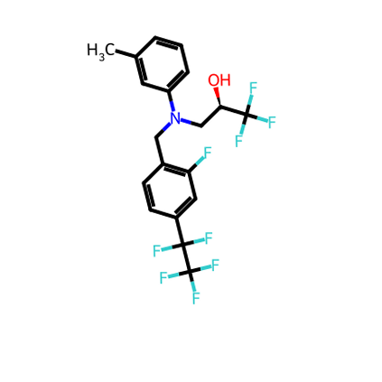 Cc1cccc(N(Cc2ccc(C(F)(F)C(F)(F)F)cc2F)C[C@@H](O)C(F)(F)F)c1